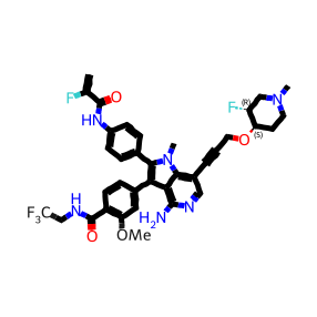 C=C(F)C(=O)Nc1ccc(-c2c(-c3ccc(C(=O)NCC(F)(F)F)c(OC)c3)c3c(N)ncc(C#CCO[C@H]4CCN(C)C[C@H]4F)c3n2C)cc1